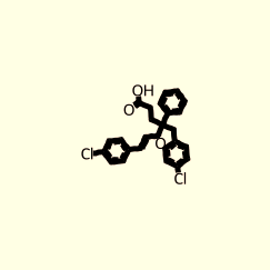 O=C(O)CCC(Cc1ccc(Cl)cc1)(C(=O)C=Cc1ccc(Cl)cc1)c1ccccc1